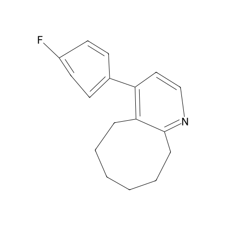 Fc1ccc(-c2ccnc3c2CCCCCC3)cc1